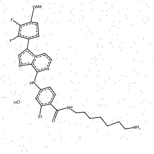 CCc1cc(Nc2nccn3c(-c4ccc(OC)c(F)c4F)cnc23)ccc1C(=O)NCCCCCCCN.Cl